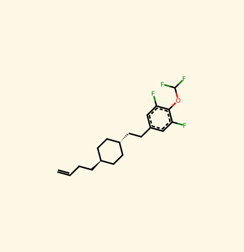 C=CCC[C@H]1CC[C@H](CCc2cc(F)c(OC(F)F)c(F)c2)CC1